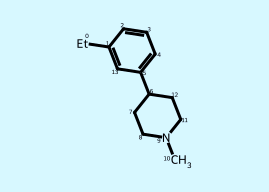 CCc1cccc(C2CCN(C)CC2)c1